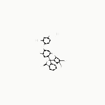 O=C(O)c1ccc(Oc2cc3c(cc2F)C2(OC(=O)c4ccccc42)c2cc(F)c(O)cc2O3)c(O)c1